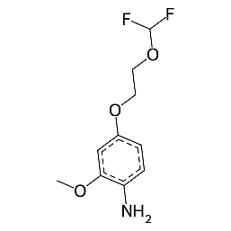 COc1cc(OCCOC(F)F)ccc1N